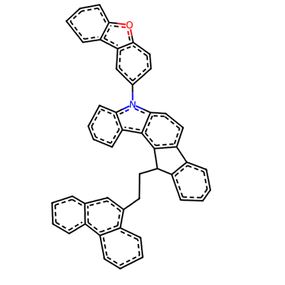 c1ccc2c(c1)-c1ccc3c(c1C2CCc1cc2ccccc2c2ccccc12)c1ccccc1n3-c1ccc2oc3ccccc3c2c1